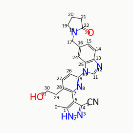 Cc1[nH]nc(C#N)c1-c1nc(-n2cnc3ccc(CN4CCCC4=O)cc32)ccc1CCO